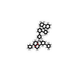 c1ccc(-c2ccc(N(c3ccc(-c4cccc5c4-c4ccccc4C54c5ccccc5-c5ccccc54)cc3)c3ccc(-c4ccccc4)cc3-c3ccccc3)cc2)cc1